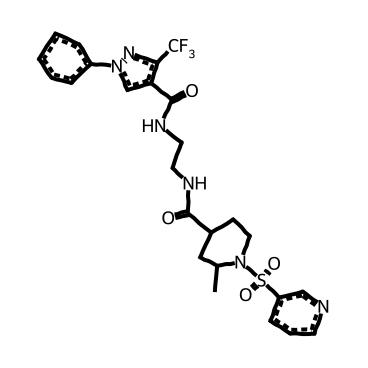 CC1CC(C(=O)NCCNC(=O)c2cn(-c3ccccc3)nc2C(F)(F)F)CCN1S(=O)(=O)c1cccnc1